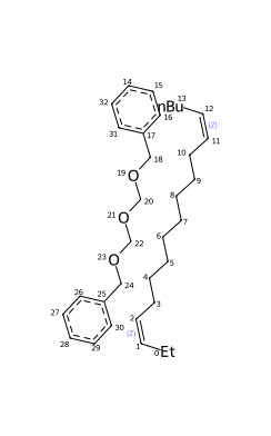 CC/C=C\CCCCCCCC/C=C\CCCC.c1ccc(COCOCOCc2ccccc2)cc1